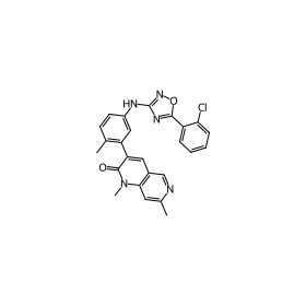 Cc1cc2c(cn1)cc(-c1cc(Nc3noc(-c4ccccc4Cl)n3)ccc1C)c(=O)n2C